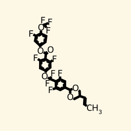 C/C=C/C1COC(c2cc(F)c(C(F)(F)Oc3cc(F)c(C(=O)Oc4ccc(OC(F)(F)F)c(F)c4)c(F)c3)c(F)c2)OC1